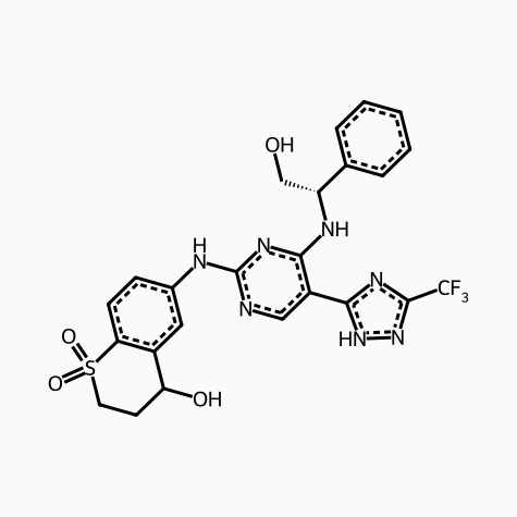 O=S1(=O)CCC(O)c2cc(Nc3ncc(-c4nc(C(F)(F)F)n[nH]4)c(N[C@H](CO)c4ccccc4)n3)ccc21